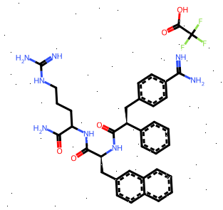 N=C(N)NCCCC(NC(=O)[C@H](Cc1ccc2ccccc2c1)NC(=O)[C@@H](Cc1ccc(C(=N)N)cc1)c1ccccc1)C(N)=O.O=C(O)C(F)(F)F